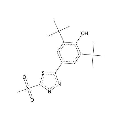 CC(C)(C)c1cc(-c2nnc(S(C)(=O)=O)s2)cc(C(C)(C)C)c1O